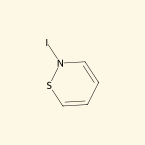 IN1C=CC=CS1